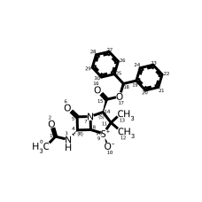 CC(=O)N[C@@H]1C(=O)N2C1[S@@+]([O-])C(C)(C)[C@@H]2C(=O)OC(c1ccccc1)c1ccccc1